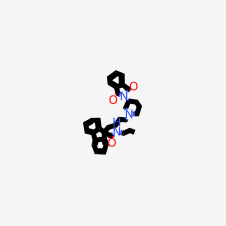 CCCNC(=O)C1(CCCCN2CCCC(N3C(=O)c4ccccc4C3=O)C2)c2ccccc2-c2ccccc21